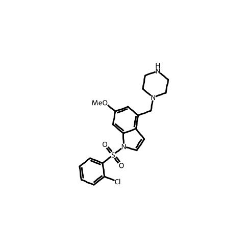 COc1cc(CN2CCNCC2)c2ccn(S(=O)(=O)c3ccccc3Cl)c2c1